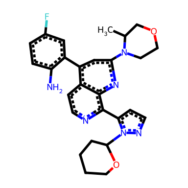 CC1COCCN1c1cc(-c2cc(F)ccc2N)c2ccnc(-c3ccnn3C3CCCCO3)c2n1